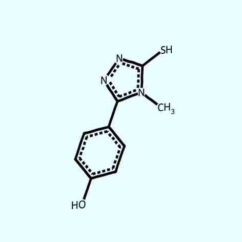 Cn1c(S)nnc1-c1ccc(O)cc1